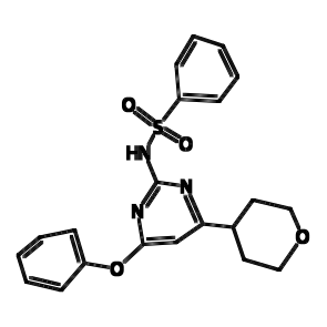 O=S(=O)(Nc1nc(Oc2ccccc2)cc(C2CCOCC2)n1)c1ccccc1